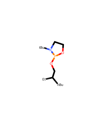 CCCCC(CC)COP1OCCN1C(C)(C)C